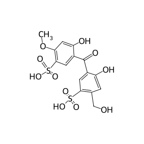 COc1cc(O)c(C(=O)c2cc(S(=O)(=O)O)c(CO)cc2O)cc1S(=O)(=O)O